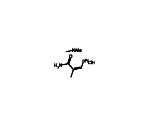 CCCC=C(C)C(N)=O.CNC.Cl